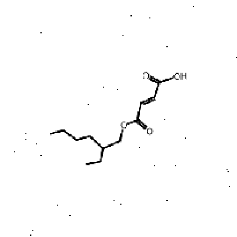 CCCCC(CC)COC(=O)/C=C/C(=O)O